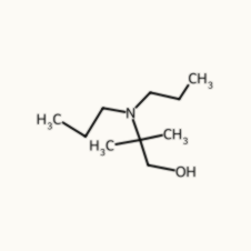 CCCN(CCC)C(C)(C)CO